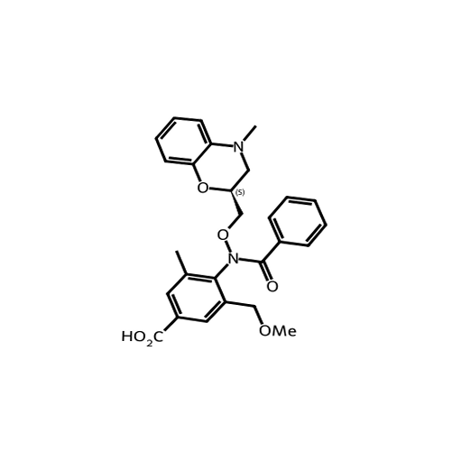 COCc1cc(C(=O)O)cc(C)c1N(OC[C@@H]1CN(C)c2ccccc2O1)C(=O)c1ccccc1